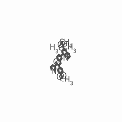 CC(C)(c1cc(-c2cccc(CC(C(=O)c3cccnc3)c3ccc(S(C)(=O)=O)cc3)c2)c2ncccc2c1)S(C)(=O)=O